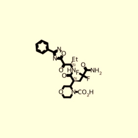 CC[C@H](NC(=O)[C@@H](CC(F)(F)C(N)=O)C1COCCN1C(=O)O)C(=O)c1nc(-c2ccccc2)no1